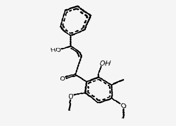 COc1cc(OC)c(C(=O)C=C(O)c2ccccc2)c(O)c1C